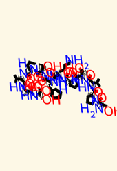 CC(C)[C@H](NC(=O)[C@@H]1CCCN1C(=O)[C@@H](NC(=O)[C@H](Cc1ccccc1)NC(=O)[C@H](CCCCN)NC(=O)[C@@H]1CCCN1C(=O)[C@@H](NC(=O)[C@@H](NC(=O)[C@@H]1CCCN1C(=O)[C@@H](N)CO)C(C)C)[C@@H](C)O)[C@@H](C)O)C(=O)N[C@@H](C)C(=O)N[C@@H](CO)C(=O)O